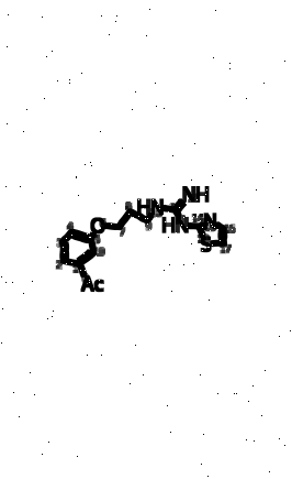 CC(=O)c1cccc(OCCCNC(=N)Nc2nccs2)c1